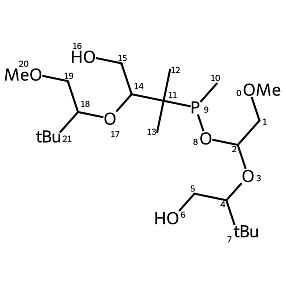 COCC(OC(CO)C(C)(C)C)OP(C)C(C)(C)C(CO)OC(COC)C(C)(C)C